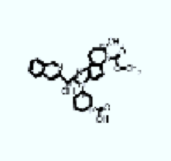 COC(=O)N1c2ccc3c(nc([C@H](O)c4cc5ccccc5cn4)n3[C@@H]3CCC[C@@H](C(=O)O)C3)c2CC[C@@H]1C